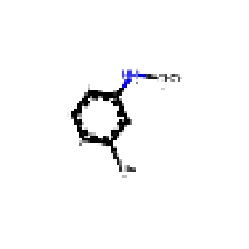 CC(C)(C)c1cccc(N[C]=O)c1